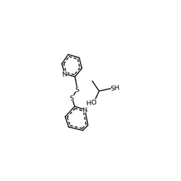 CC(O)S.c1ccc(SSc2ccccn2)nc1